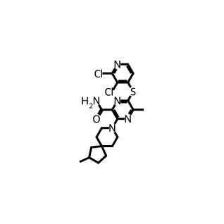 Cc1nc(N2CCC3(CCC(C)C3)CC2)c(C(N)=O)nc1Sc1ccnc(Cl)c1Cl